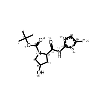 CC(C)(C)OC(=O)N1CC(O)CC1C(=O)Nc1ncc(F)s1